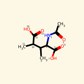 CC(=O)NC(C(=O)O)C(C)C(C)C(=O)O